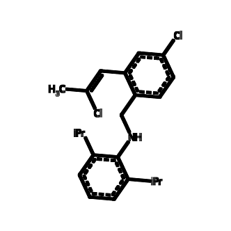 C/C(Cl)=C/c1cc(Cl)ccc1CNc1c(C(C)C)cccc1C(C)C